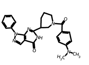 CN(C)c1ccc(C(=O)N2CCCC(c3nc4c(cnn4-c4ccccc4)c(=O)[nH]3)C2)cc1